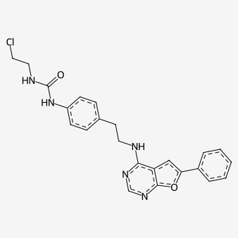 O=C(NCCCl)Nc1ccc(CCNc2ncnc3oc(-c4ccccc4)cc23)cc1